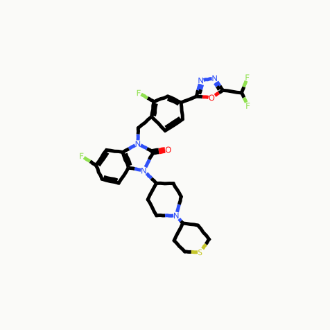 O=c1n(Cc2ccc(-c3nnc(C(F)F)o3)cc2F)c2cc(F)ccc2n1C1CCN(C2CCSCC2)CC1